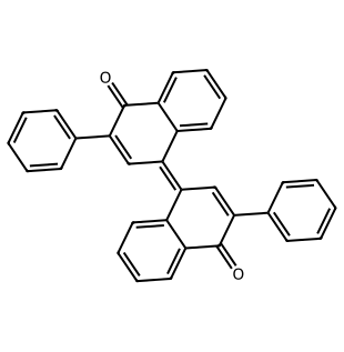 O=C1C(c2ccccc2)=C/C(=C2/C=C(c3ccccc3)C(=O)c3ccccc32)c2ccccc21